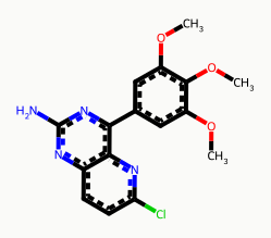 COc1cc(-c2nc(N)nc3ccc(Cl)nc23)cc(OC)c1OC